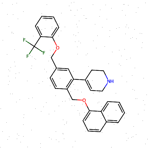 FC(F)(F)c1ccccc1OCc1ccc(COc2cccc3ccccc23)c(C2=CCNCC2)c1